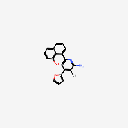 N#Cc1c(-c2ccco2)cc(-c2cccc3cccc(O)c23)nc1N